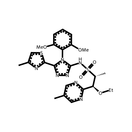 CCO[C@@H](c1ncc(C)cn1)[C@@H](C)S(=O)(=O)Nc1nnc(-c2nc(C)cs2)n1-c1c(OC)cccc1OC